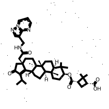 CC(C)C1=C2[C@H]3CC[C@@H]4[C@@]5(C)CC[C@H](OC(=O)[C@H]6C[C@@H](C(=O)O)C6(C)C)C(C)(C)[C@@H]5CC[C@@]4(C)[C@]3(C)CC[C@@]2(CC(=O)NCc2cnn3cccnc23)CC1=O